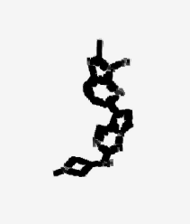 CCn1c(C)nc2ccc(-c3ccn4nc(NC5CN(C)C5)ncc34)nc21